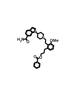 COc1cccc(CCCOC(=O)c2ccccc2)c1CCN1CCC(n2ccc3ccc(C(N)=O)cc32)CC1